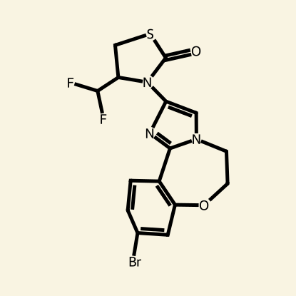 O=C1SCC(C(F)F)N1c1cn2c(n1)-c1ccc(Br)cc1OCC2